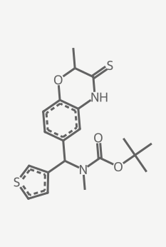 CC1Oc2ccc(C(c3ccsc3)N(C)C(=O)OC(C)(C)C)cc2NC1=S